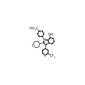 O=C(O)c1ccc(-n2c(C3CCOCC3)c(-c3ccnc(C(F)(F)F)c3)c3cccc(O)c32)cc1